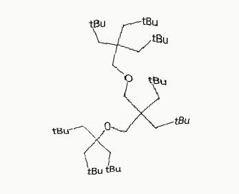 CC(C)(C)CC(COCC(CC(C)(C)C)(CC(C)(C)C)CC(C)(C)C)(COC(CC(C)(C)C)(CC(C)(C)C)CC(C)(C)C)CC(C)(C)C